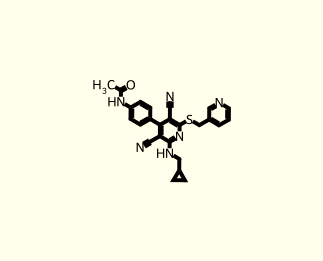 CC(=O)Nc1ccc(-c2c(C#N)c(NCC3CC3)nc(SCc3cccnc3)c2C#N)cc1